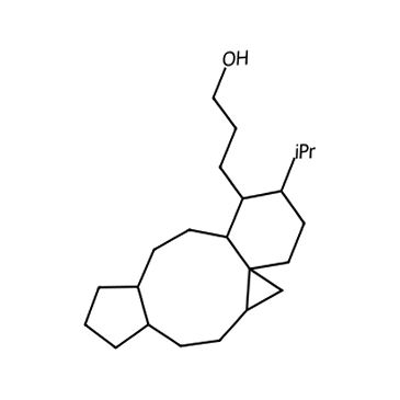 CC(C)C1CCC23CC2CCC2CCCC2CCC3C1CCCO